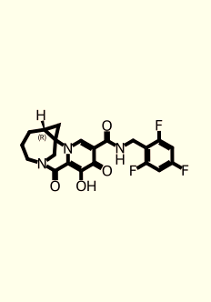 O=C(NCc1c(F)cc(F)cc1F)c1cn2c(c(O)c1=O)C(=O)N1CCC[C@@H]3CC32C1